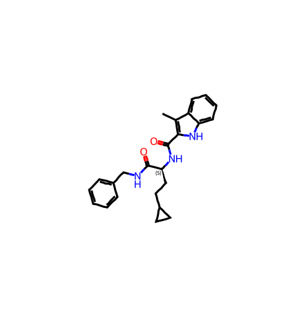 Cc1c(C(=O)N[C@@H](CCC2CC2)C(=O)NCc2ccccc2)[nH]c2ccccc12